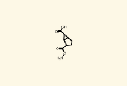 NOC(=O)C1CCC2C(C(=O)O)C12